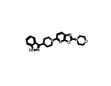 c1ccc2c(C3CCN(c4ccc5nc(N6CCOCC6)oc5n4)CC3)n[nH]c2c1